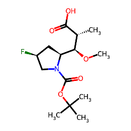 CO[C@H]([C@@H](C)C(=O)O)[C@@H]1C[C@H](F)CN1C(=O)OC(C)(C)C